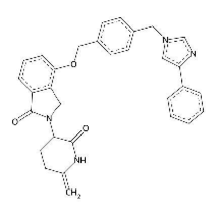 C=C1CCC(N2Cc3c(OCc4ccc(Cn5cnc(-c6ccccc6)c5)cc4)cccc3C2=O)C(=O)N1